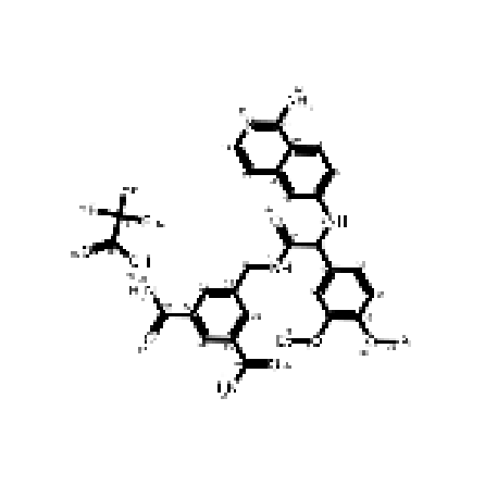 CCOc1cc(C(Nc2ccc3c(N)nccc3c2)C(=O)NCc2cc(C(N)=O)cc(C(N)=O)c2)ccc1OC(C)C.O=C(O)C(F)(F)F